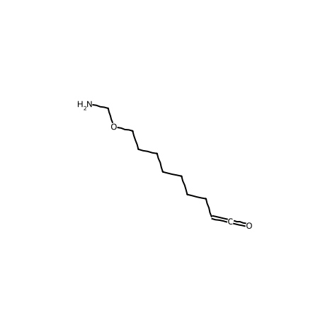 NCOCCCCCCCC=C=O